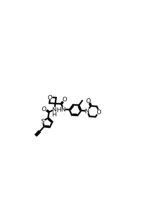 C#Cc1ccc(C(=O)NC2(C(=O)Nc3ccc(N4CCOCC4=O)c(C)c3)COC2)s1